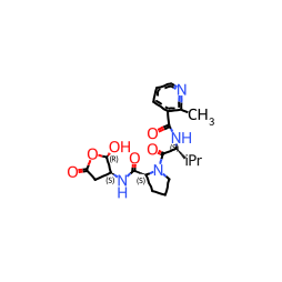 Cc1ncccc1C(=O)N[C@H](C(=O)N1CCC[C@H]1C(=O)N[C@H]1CC(=O)O[C@H]1O)C(C)C